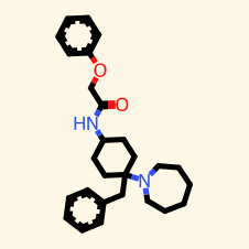 O=C(COc1ccccc1)NC1CCC(Cc2ccccc2)(N2CCCCCC2)CC1